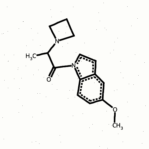 COc1ccc2c(ccn2C(=O)C(C)N2CCC2)c1